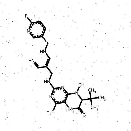 Cc1nc(NC/C(C=N)=C/NCc2ccc(F)nc2)nc2c1NC(=O)[C@H](C(C)(C)C)N2C